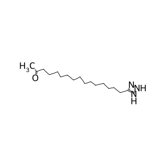 CC(=O)CCCCCCCCCCCCCCc1n[nH][nH]1